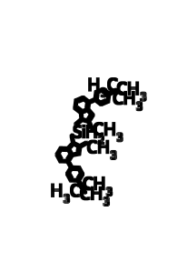 CCC1=Cc2c(-c3ccc(C(C)(C)C)cc3)cccc2C1C[SiH2]CC1C(CC)=Cc2c(-c3ccc(C(C)(C)C)cc3)cccc21